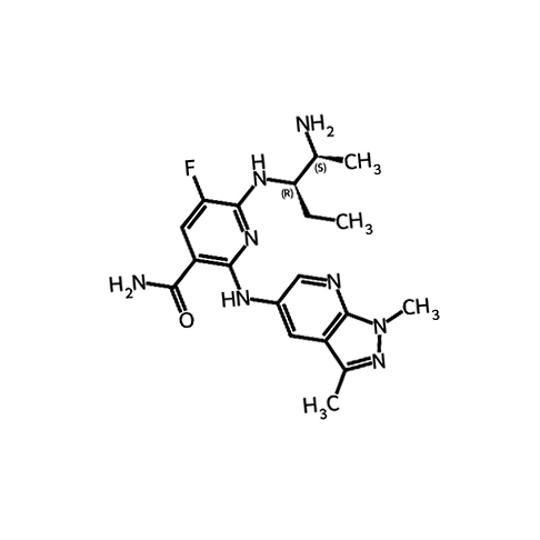 CC[C@@H](Nc1nc(Nc2cnc3c(c2)c(C)nn3C)c(C(N)=O)cc1F)[C@H](C)N